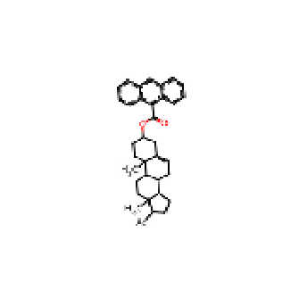 CC(=O)C1CCC2C3CC=C4CC(OC(=O)c5c6ccccc6cc6ccccc56)CCC4(C)C3CCC12C